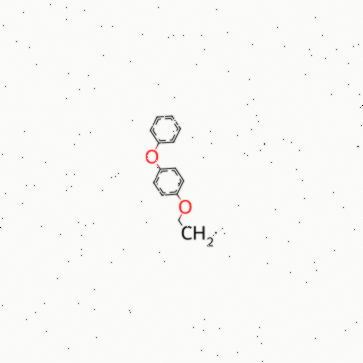 [CH2]COc1ccc(Oc2ccccc2)cc1